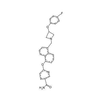 NC(=O)c1ccc(Oc2cccc3c(CN4CC(Oc5ccc(F)cc5)C4)cccc23)nc1